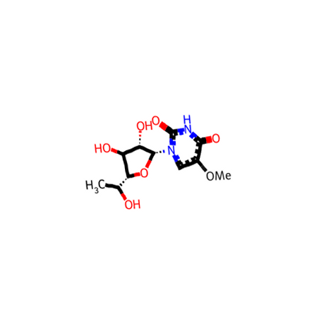 COc1cn([C@@H]2O[C@H](C(C)O)C(O)[C@@H]2O)c(=O)[nH]c1=O